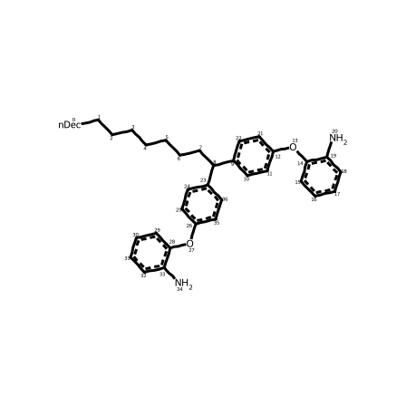 CCCCCCCCCCCCCCCCCC(c1ccc(Oc2ccccc2N)cc1)c1ccc(Oc2ccccc2N)cc1